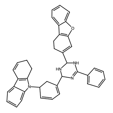 C1=CC(n2c3c(c4ccccc42)C=CCC3)CC(C2N=C(c3ccccc3)NC(C3=Cc4oc5ccccc5c4CC3)N2)=C1